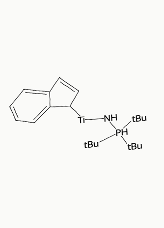 CC(C)(C)[PH]([NH][Ti][CH]1C=Cc2ccccc21)(C(C)(C)C)C(C)(C)C